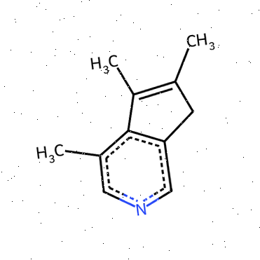 CC1=C(C)c2c(C)cncc2C1